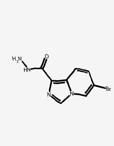 NNC(=O)c1ncn2cc(Br)ccc12